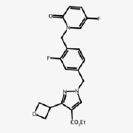 CCOC(=O)c1cn(Cc2ccc(Cn3cc(F)ccc3=O)c(F)c2)nc1C1COC1